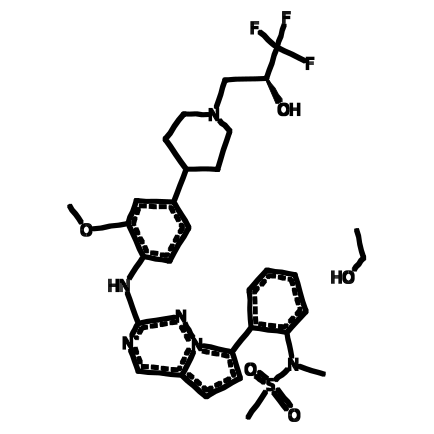 CCO.COc1cc(C2CCN(C[C@H](O)C(F)(F)F)CC2)ccc1Nc1ncc2ccc(-c3ccccc3N(C)S(C)(=O)=O)n2n1